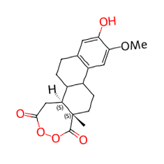 COc1cc2c(cc1O)CCC1C2CC[C@]2(C)C(=O)OOC(=O)C[C@@H]12